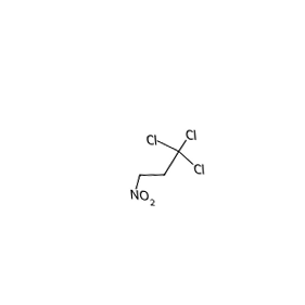 O=[N+]([O-])CCC(Cl)(Cl)Cl